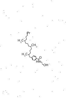 CC(C)CCCC(C)CCCC(C)CCCC(C)Cc1ccc(C(=O)NCCO)cc1